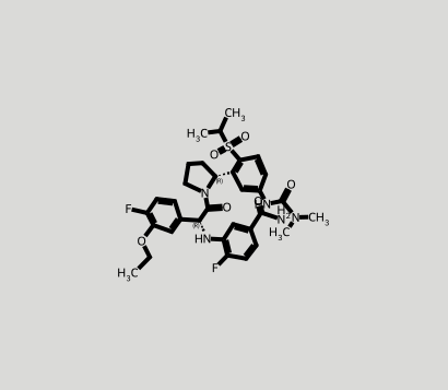 CCOc1cc([C@@H](Nc2cc(C(N)=O)ccc2F)C(=O)N2CCC[C@@H]2c2cc(NC(=O)N(C)C)ccc2S(=O)(=O)C(C)C)ccc1F